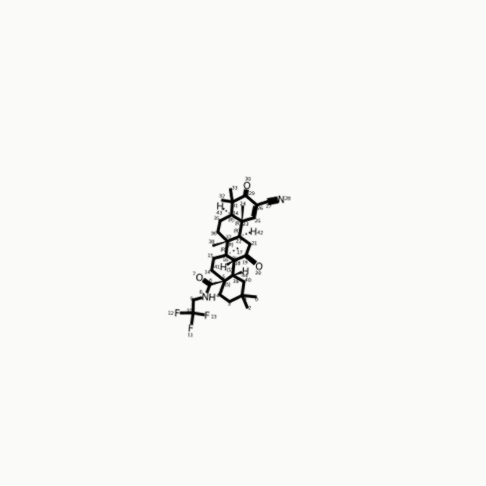 CC1(C)CC[C@]2(C(=O)NCC(F)(F)F)CC[C@]3(C)[C@H](C(=O)C[C@@H]4[C@@]5(C)C=C(C#N)C(=O)C(C)(C)[C@@H]5CC[C@]43C)[C@@H]2C1